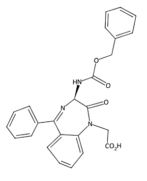 O=C(O)CN1C(=O)[C@H](NC(=O)OCc2ccccc2)N=C(c2ccccc2)c2ccccc21